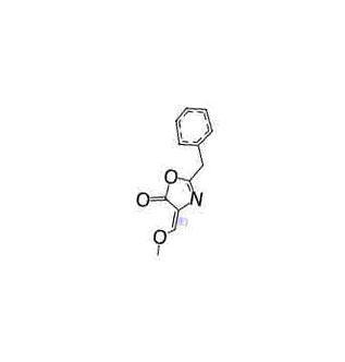 CO/C=C1/N=C(Cc2ccccc2)OC1=O